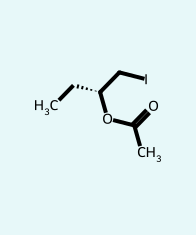 CC[C@H](CI)OC(C)=O